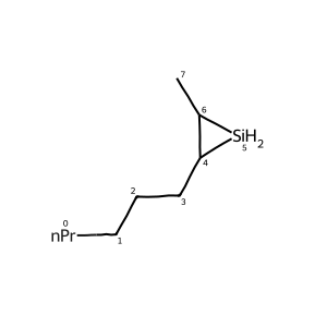 CCCCCCC1[SiH2]C1C